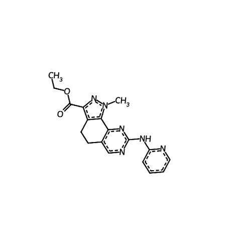 CCOC(=O)c1nn(C)c2c1CCc1cnc(Nc3ccccn3)nc1-2